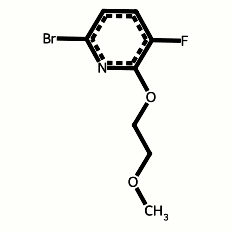 COCCOc1nc(Br)ccc1F